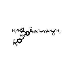 CC(=O)NCCOCCOCCNC(=O)c1ccc(NCc2ccc(C(F)(F)F)cc2)c(-c2cn(C)cn2)c1